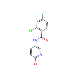 O=C(Nc1ccc(O)nc1)c1ccc(Cl)cc1Cl